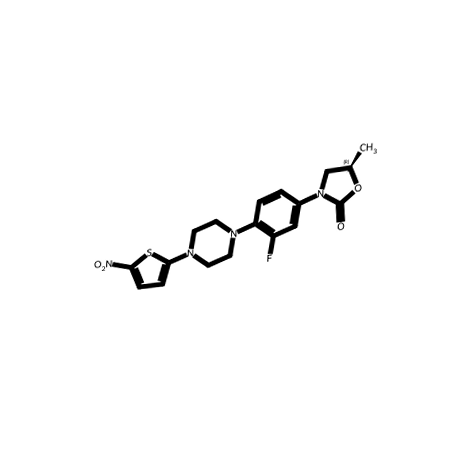 C[C@@H]1CN(c2ccc(N3CCN(c4ccc([N+](=O)[O-])s4)CC3)c(F)c2)C(=O)O1